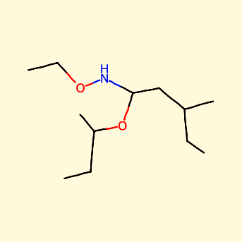 CCONC(CC(C)CC)OC(C)CC